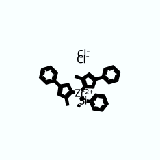 CC1=[C]([Zr+2]([C]2=C(C)C=C(c3ccccc3)C2)=[Si](C)c2ccccc2)CC(c2ccccc2)=C1.[Cl-].[Cl-]